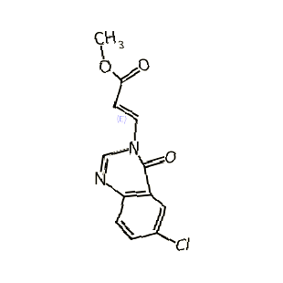 COC(=O)/C=C/n1cnc2ccc(Cl)cc2c1=O